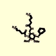 C=CCCC(=O)NC[C@H]1O[C@@H](Sc2ccccc2)[C@H](OC)[C@@H](OC)[C@@H]1OC(=O)CCC=C